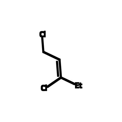 CCC(Cl)=CCCl